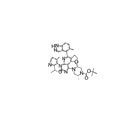 Cc1ccnc(C(C)C)c1-n1c(=O)nc(N2C[C@@H](C)N(C(=O)OC(C)(C)C)C[C@@H]2C)c2c3c(c(-c4c(C)ccc5[nH]ncc45)nc21)CCO3